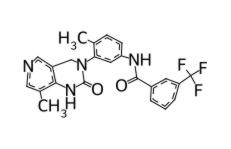 Cc1ccc(NC(=O)c2cccc(C(F)(F)F)c2)cc1N1Cc2cncc(C)c2NC1=O